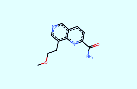 COCCc1cncc2ccc(C(N)=O)nc12